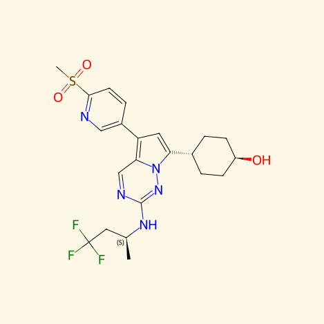 C[C@@H](CC(F)(F)F)Nc1ncc2c(-c3ccc(S(C)(=O)=O)nc3)cc([C@H]3CC[C@H](O)CC3)n2n1